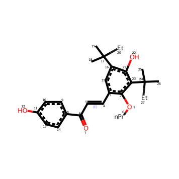 CCCOc1c(/C=C/C(=O)c2ccc(O)cc2)cc(C(C)(C)CC)c(O)c1C(C)(C)CC